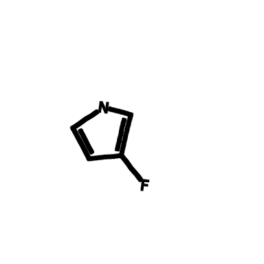 FC1=C[N]C=C1